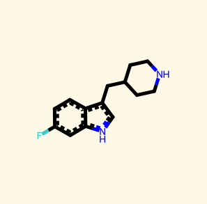 Fc1ccc2c(CC3CCNCC3)c[nH]c2c1